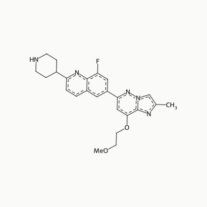 COCCOc1cc(-c2cc(F)c3nc(C4CCNCC4)ccc3c2)nn2cc(C)nc12